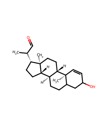 CC(C=O)[C@H]1CC[C@H]2[C@@H]3CCC4CC(O)C=C[C@]4(C)[C@H]3CC[C@]12C